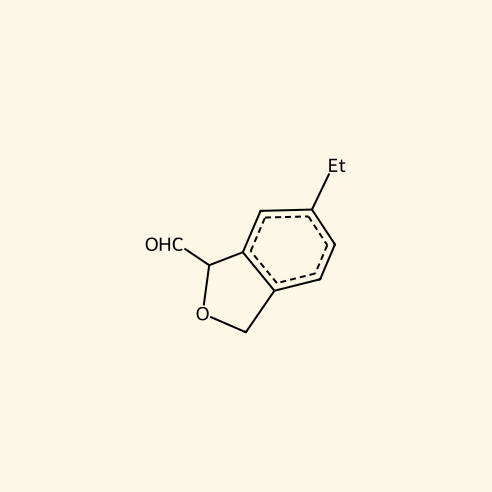 CCc1ccc2c(c1)C(C=O)OC2